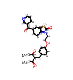 COC(=O)C(Cc1ccc(OCCn2c(=O)sc3cc(C(=O)c4cccnc4)ccc32)cc1)C(=O)OC